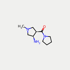 CN1C[C@H](N)[C@H](C(=O)N2CCCC2)C1